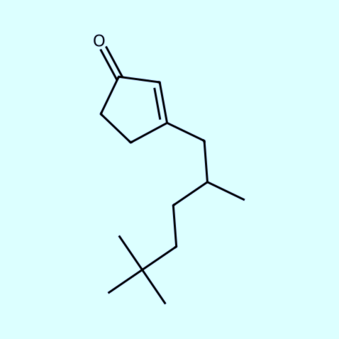 CC(CCC(C)(C)C)CC1=CC(=O)CC1